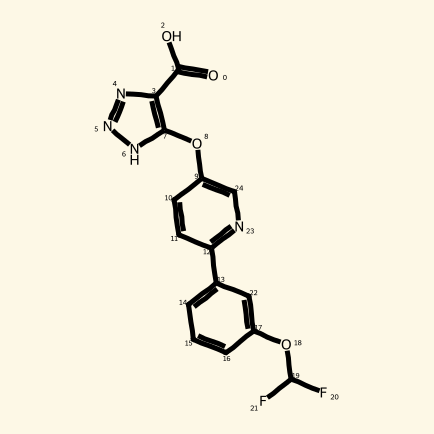 O=C(O)c1nn[nH]c1Oc1ccc(-c2cccc(OC(F)F)c2)nc1